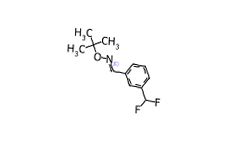 CC(C)(C)O/N=[C]/c1cccc(C(F)F)c1